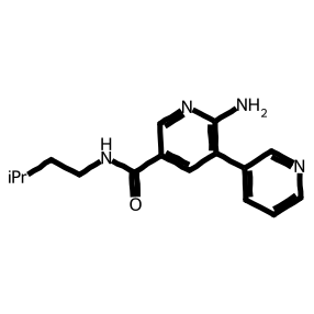 CC(C)CCNC(=O)c1cnc(N)c(-c2cccnc2)c1